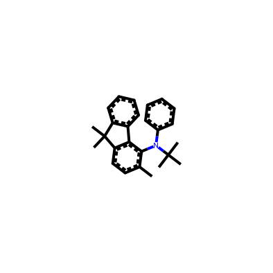 Cc1ccc2c(c1N(c1ccccc1)C(C)(C)C)-c1ccccc1C2(C)C